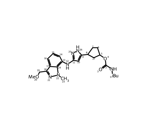 CCC(C)NC(=O)OC1CCC(c2cc(Nc3cccc4c(COC)nn(C)c34)n[nH]2)C1